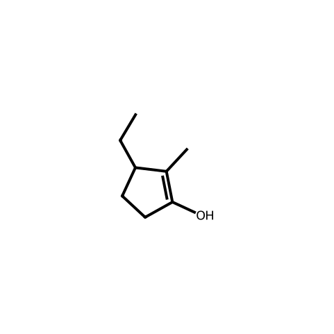 CCC1CCC(O)=C1C